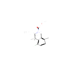 Cc1ccc(F)c([C@@H](C)[C@H](NC(=O)OC(C)(C)C)C(=O)O)c1C